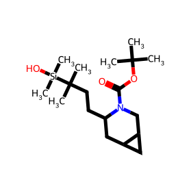 CC(C)(C)OC(=O)N1CC2CC2CC1CCC(C)(C)[Si](C)(C)O